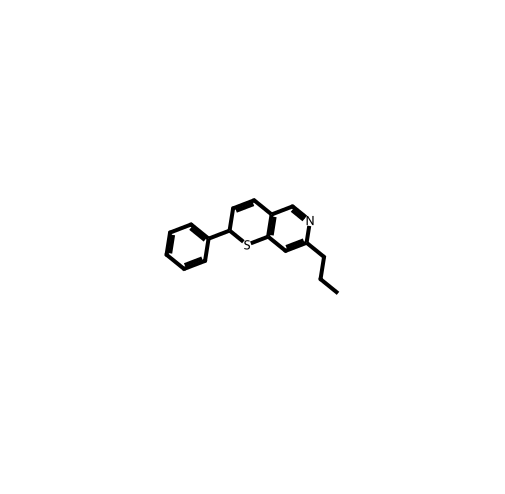 CCCc1cc2c(cn1)C=CC(c1ccccc1)S2